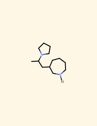 CCN1CCCCC(CC(C)N2CCCC2)C1